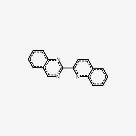 c1ccc2nc(-c3ncc4ccccc4n3)ccc2c1